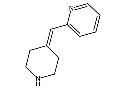 C(=C1CCNCC1)c1ccccn1